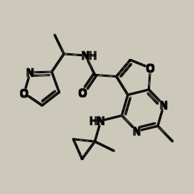 Cc1nc(NC2(C)CC2)c2c(C(=O)NC(C)c3ccon3)coc2n1